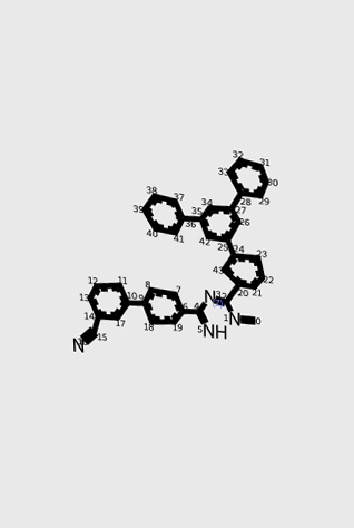 C=N/C(=N\C(=N)c1ccc(-c2cccc(C#N)c2)cc1)c1cccc(-c2cc(-c3ccccc3)cc(-c3ccccc3)c2)c1